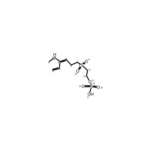 C=C/C(BC)=C\CCS(=O)(=O)CCOS(=O)(=O)O